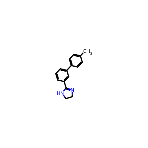 Cc1ccc(-c2cccc(C3=NCCN3)c2)cc1